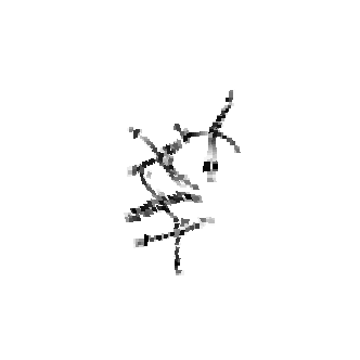 CS(=O)(=O)N=S(=O)(F)NS(=O)(=O)C(F)(F)F